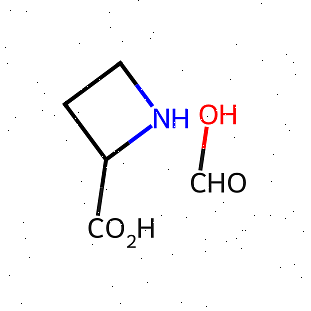 O=C(O)C1CCN1.O=CO